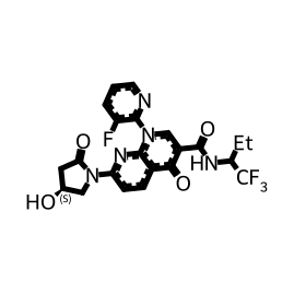 CCC(NC(=O)c1cn(-c2ncccc2F)c2nc(N3C[C@@H](O)CC3=O)ccc2c1=O)C(F)(F)F